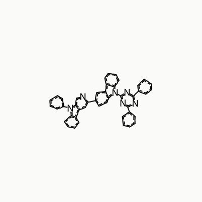 c1ccc(-c2nc(-c3ccccc3)nc(-n3c4ccccc4c4cc(-c5cc6c7ccccc7n(-c7ccccc7)c6cn5)ccc43)n2)cc1